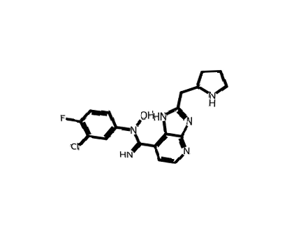 N=C(c1ccnc2nc(CC3CCCN3)[nH]c12)N(O)c1ccc(F)c(Cl)c1